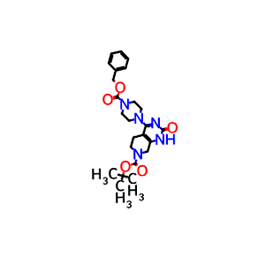 CC(C)(C)OC(=O)N1CCc2c(N3CCN(C(=O)OCc4ccccc4)CC3)nc(=O)[nH]c2C1